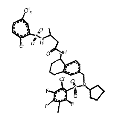 Cc1c(F)c(F)c(Cl)c(S(=O)(=O)N(Cc2ccc3c(c2)CCCC3NC(=O)CC(C)NS(=O)(=O)c2cc(C(F)(F)F)ccc2Cl)C2CCCC2)c1F